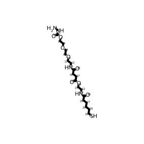 NNC(=O)OCCOCCOCCNC(=O)CCC(=O)OCCNC(=O)CCCCCS